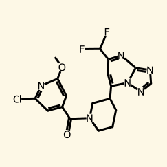 COc1cc(C(=O)N2CCCC(c3cc(C(F)F)nc4ncnn34)C2)cc(Cl)n1